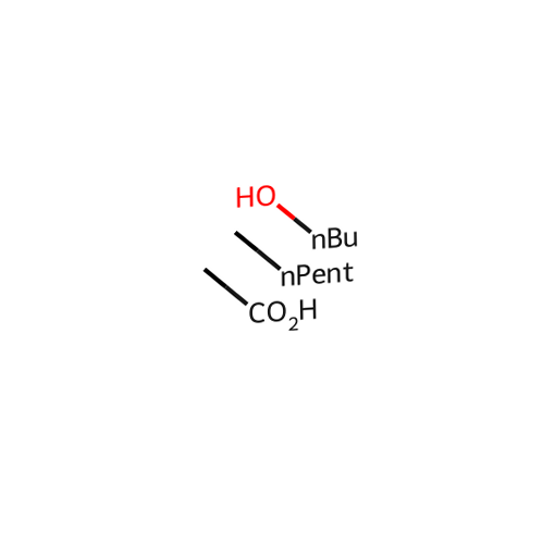 CC(=O)O.CCCCCC.CCCCO